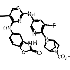 Cc1cnc(Nc2cnc(N3CC4CC3CN4C(=O)O)c(F)c2)nc1Nc1ccc2oc(=O)[nH]c2c1